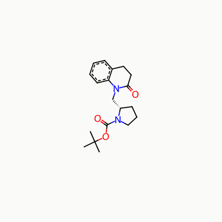 CC(C)(C)OC(=O)N1CCC[C@H]1CN1C(=O)CCc2ccccc21